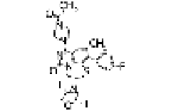 C=CC(=O)N1CCN(c2nc(=O)n3c4c(c(-c5ccc(F)cc5)c(C)cc24)SCC(N2C[C@@H]4C[C@H]2CO4)C3)CC1